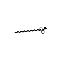 CCCCCCCCCCCCCCCCOC(=O)C1CC1